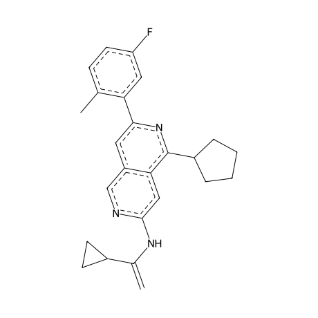 C=C(Nc1cc2c(C3CCCC3)nc(-c3cc(F)ccc3C)cc2cn1)C1CC1